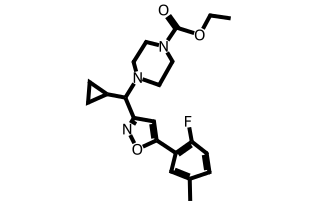 CCOC(=O)N1CCN(C(c2cc(-c3cc(C)ccc3F)on2)C2CC2)CC1